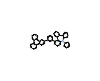 c1ccc(N2c3ccccc3-c3ccccc3-c3c(-c4cccc(-c5ccc6c7ccccc7c7ccccc7c6c5)c4)cccc32)cc1